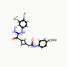 COc1ccc(NC(=O)CC2CC(C(=O)/C(=N/I)Nc3ccc(F)c(Br)c3)C2)cc1